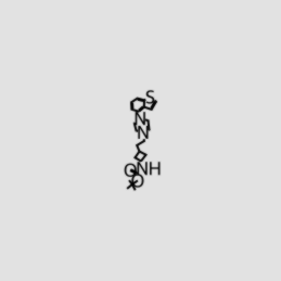 CC(C)(C)OC(=O)NC1CC(CCN2CCN(c3cccc4sccc34)CC2)C1